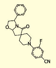 N#Cc1ccc(N2CCC3(CC2)CC2OCC(c4ccccc4)N2C3=O)c(F)c1